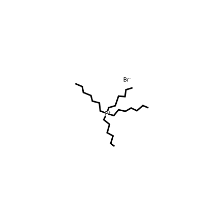 CCCCCCC[P+](CCCCCC)(CCCCCC)CCCCCCC.[Br-]